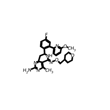 COc1cccc(-c2cc(F)ccc2C2Cc3nc(N)nc(C)c3C(=NOCC3CCOCC3)N2)n1